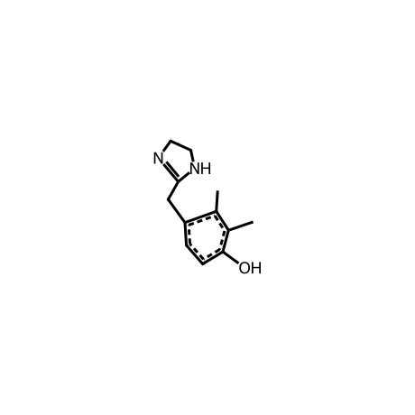 Cc1c(O)ccc(CC2=NCCN2)c1C